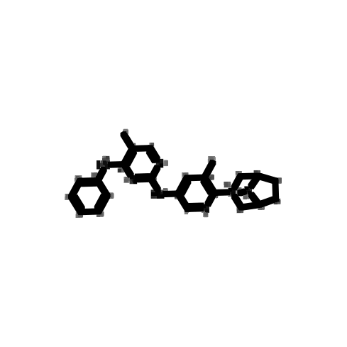 Cc1cnc(Nc2cnc(N3CC4CCC(C3)N4C)c(C)c2)nc1Nc1ccccc1